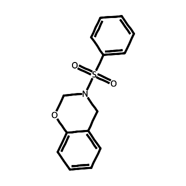 O=S(=O)(c1ccccc1)N1COc2ccccc2C1